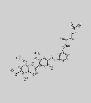 COc1cc(OCc2cccc(CNC(=O)CCCC(=O)O)c2)c(Cl)cc1C(=O)O[C@H]1[C@@H](OC)O[C@H](CO)[C@@H](O)[C@@H]1O